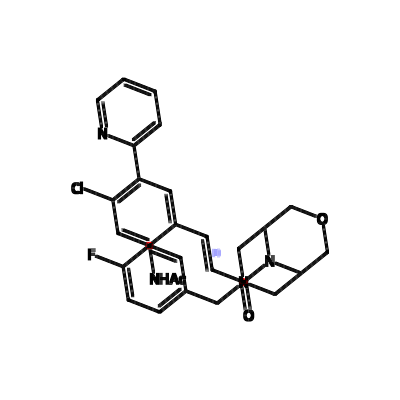 CC(=O)Nc1cc(Cl)c(-c2ccccn2)cc1/C=C/C(=O)N1C2COCC1CN(Cc1ccc(F)cc1)C2